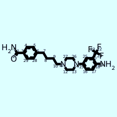 NC(=O)c1ccc(CCCCN2CCN(c3ccc(N)c(C(F)(F)F)c3)CC2)cc1